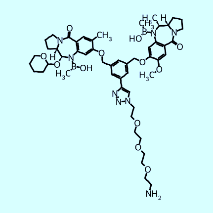 COc1cc2c(cc1OCc1cc(COc3cc4c(cc3C)C(=O)N3CCC[C@H]3[C@H](OC3CCCCO3)N4B(C)O)cc(-c3cn(CCOCCOCCOCCN)nn3)c1)N(B(C)O)[C@@H](C)[C@@H]1CCCN1C2=O